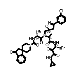 CCC[C@H](NC(=O)[C@@H]1C[C@]2(CC(c3cccc(Cl)c3)=NO2)CN1C(=O)[C@@H](NC(=O)N1CCC2(CC1)CC(=O)c1ccccc12)C(C)(C)C)C(=O)C(=O)NC1CC1